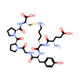 NCCCC[C@H](NC(=O)[C@@H](N)CCC(=O)O)C(=O)N[C@@H](Cc1ccc(O)cc1)C(=O)NCC(=O)N1CCC[C@H]1C(=O)N1CCC[C@H]1C(=O)N[C@@H](CS)C(=O)O